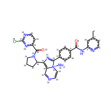 Cc1ccnc(NC(=O)c2ccc(C3=NC(C4CCCN4C(=O)c4ccnc(Cl)n4)=C4C=NC=C[N+]34N)cc2)c1